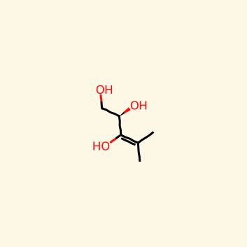 CC(C)=C(O)[C@H](O)CO